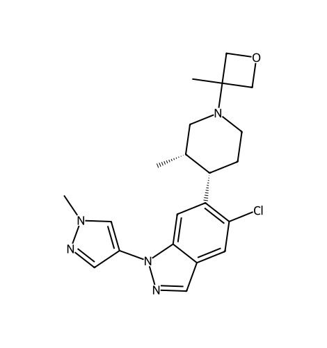 C[C@@H]1CN(C2(C)COC2)CC[C@@H]1c1cc2c(cnn2-c2cnn(C)c2)cc1Cl